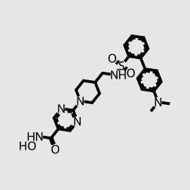 CN(C)c1ccc(-c2ccccc2S(=O)(=O)NCC2CCN(c3ncc(C(=O)NO)cn3)CC2)cc1